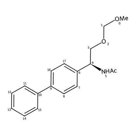 COCOC[C@@H](NC(C)=O)c1ccc(-c2ccccc2)cc1